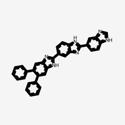 c1ccc(-c2cc3nc(-c4ccc5[nH]c(-c6ccc7[nH]cnc7c6)nc5c4)[nH]c3cc2-c2ccccc2)cc1